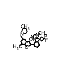 Cc1cc(CN2CCC[C@H](C)C2)cc2c(=O)c(-c3cccc(C4(c5nncn5C)CC(F)(F)C4)c3)coc12